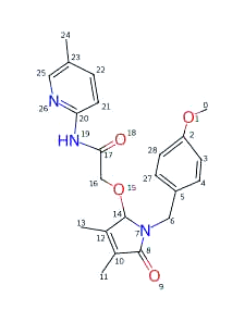 COc1ccc(CN2C(=O)C(C)=C(C)C2OCC(=O)Nc2ccc(C)cn2)cc1